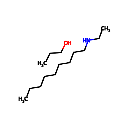 CCCCCCCCCNCC.CCCO